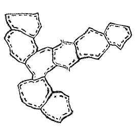 c1ccc2cc3nc4c(nc3cc2c1)c1c2ccccc2ccc1c1ccc2ccccc2c14